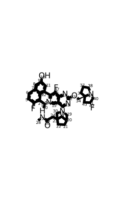 CCc1c(F)ccc2cc(O)cc(-c3ncc4c(N5CC6CCC(CC(=O)NC)(C6)C5)nc(OC[C@@]56CCCN5C[C@H](F)C6)nc4c3F)c12